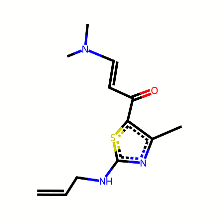 C=CCNc1nc(C)c(C(=O)C=CN(C)C)s1